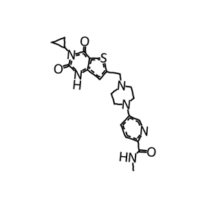 CNC(=O)c1ccc(N2CCN(Cc3cc4[nH]c(=O)n(C5CC5)c(=O)c4s3)CC2)cn1